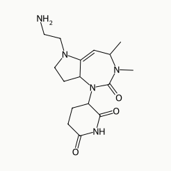 CC1C=C2C(CCN2CCN)N(C2CCC(=O)NC2=O)C(=O)N1C